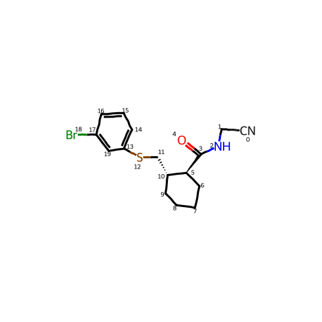 N#CCNC(=O)[C@H]1CCCC[C@@H]1CSc1cccc(Br)c1